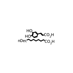 CCCCCCCCCCCCCCCCCC(=O)O.O=C(O)/C=C/c1ccc(O)c(O)c1